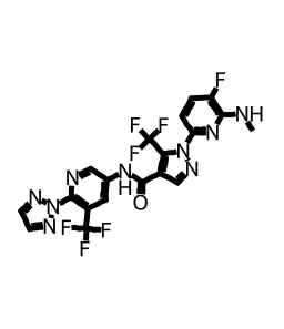 CNc1nc(-n2ncc(C(=O)Nc3cnc(-n4nccn4)c(C(F)(F)F)c3)c2C(F)(F)F)ccc1F